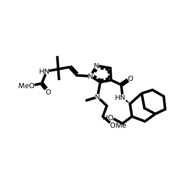 COCCN(C)c1c(C(=O)N[C@H]2C(CO)CC3CCCC2C3)cnn1/C=C/C(C)(C)NC(=O)OC